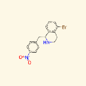 O=[N+]([O-])c1ccc(CC2NCCc3c(Br)cccc32)cc1